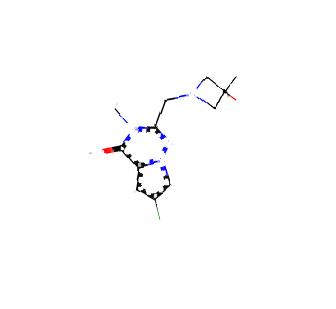 Cn1c(CN2CC(C)(O)C2)nn2cc(Br)cc2c1=O